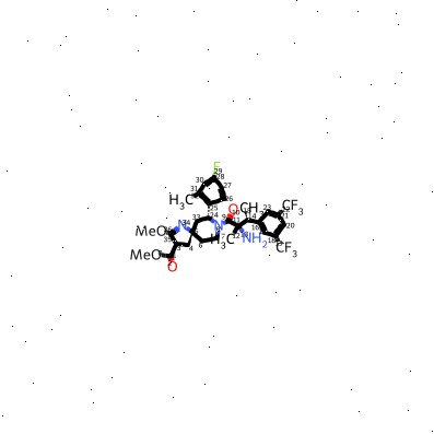 COC(=O)C1C[C@@]2(CCN(C(=O)C(C)(N)[C@H](C)c3cc(C(F)(F)F)cc(C(F)(F)F)c3)[C@@H](c3ccc(F)cc3C)C2)N=C1OC